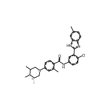 Cc1ccc2nc(-c3cc(NC(=O)c4ccc(N5CC(C)N(C)[C@@H](C)C5)cc4C)ccc3Cl)[nH]c2c1